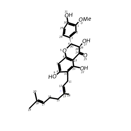 COc1cc([C@H]2Oc3cc(O)c(C/C=C(\C)CCC=C(C)C)c(O)c3C(=O)[C@@H]2O)ccc1O